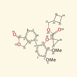 COc1ccc(-c2cccc3c2COC3=O)c(OC2(C(=O)OCC3CCC3)CC2)c1OC